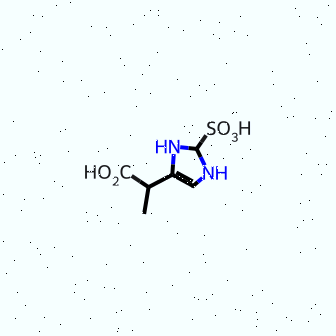 CC(C(=O)O)C1=CNC(S(=O)(=O)O)N1